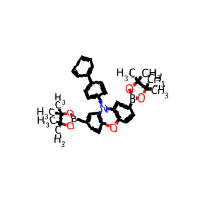 CC1(C)OB(c2ccc3c(c2)N(c2ccc(-c4ccccc4)cc2)c2cc(B4OC(C)(C)C(C)(C)O4)ccc2O3)OC1(C)C